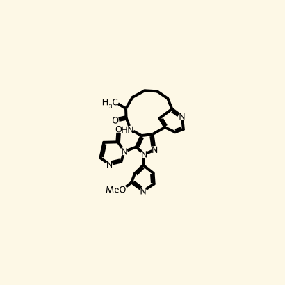 COc1cc(-n2nc3c(c2-n2cnccc2=O)NC(=O)C(C)CCCCc2cc-3ccn2)ccn1